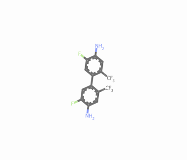 Nc1cc(C(F)(F)F)c(-c2cc(F)c(N)cc2C(F)(F)F)cc1F